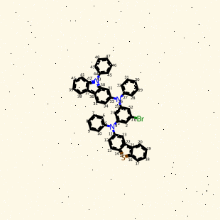 Brc1cc(N(c2ccccc2)c2ccc3sc4ccccc4c3c2)cc(N(c2ccccc2)c2ccc3c4ccccc4n(-c4ccccc4)c3c2)c1